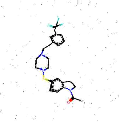 CC(=O)N1CCc2cc(SN3CCN(Cc4cccc(C(F)(F)F)c4)CC3)ccc21